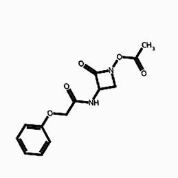 CC(=O)ON1CC(NC(=O)COc2ccccc2)C1=O